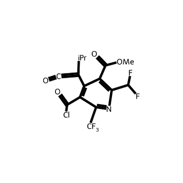 COC(=O)c1c(C(F)F)nc(C(F)(F)F)c(C(=O)Cl)c1C(=C=O)C(C)C